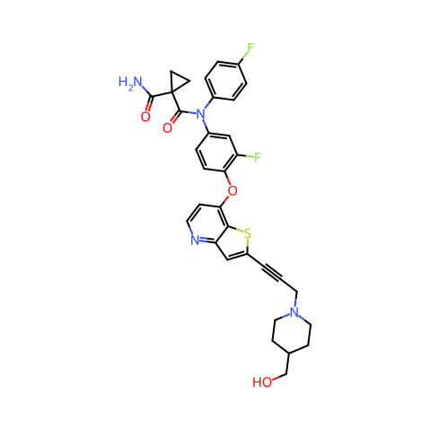 NC(=O)C1(C(=O)N(c2ccc(F)cc2)c2ccc(Oc3ccnc4cc(C#CCN5CCC(CO)CC5)sc34)c(F)c2)CC1